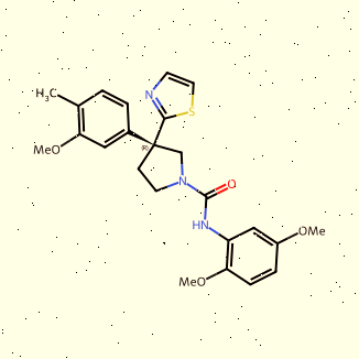 COc1ccc(OC)c(NC(=O)N2CC[C@](c3ccc(C)c(OC)c3)(c3nccs3)C2)c1